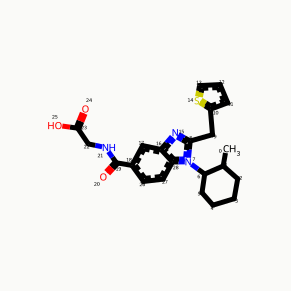 CC1CCCCC1n1c(Cc2cccs2)nc2cc(C(=O)NCC(=O)O)ccc21